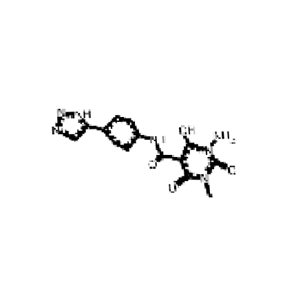 Cn1c(=O)c(C(=O)Nc2ccc(-c3cnn[nH]3)cc2)c(O)n(N)c1=O